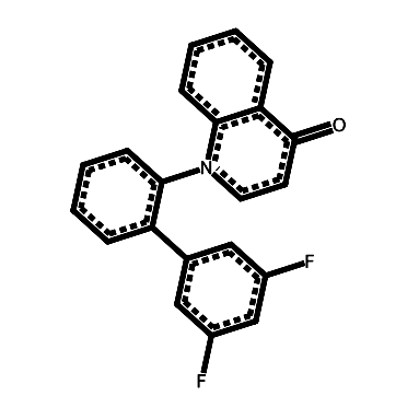 O=c1ccn(-c2ccccc2-c2cc(F)cc(F)c2)c2ccccc12